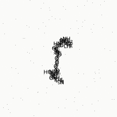 Cc1ncsc1-c1ccc(CNC(=O)[C@@H]2C[C@@H](O)CN2C(=O)C(NC(=O)CCOCCOCCOCCC(=O)N2[C@H](C)CN(C(=O)c3ccc(NC(=O)c4cc(OC(C)c5c(Cl)ccc(F)c5Cl)c(N)nn4)cc3)C[C@@H]2C)C(C)(C)C)cc1